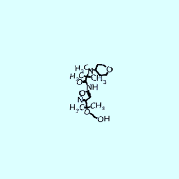 CN(C1CCOCC1)C(C)(C)C(=O)Nc1cc(C(C)(C)OCCO)no1